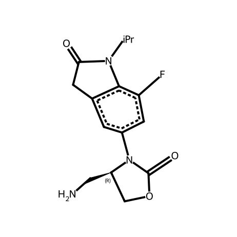 CC(C)N1C(=O)Cc2cc(N3C(=O)OC[C@H]3CN)cc(F)c21